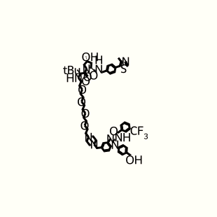 Cc1ncsc1-c1ccc(CNC(=O)[C@@H]2C[C@@H](O)CN2C(=O)[C@@H](NC(=O)COCCOCCOCCOCCN2CCN(Cc3ccc4c(c3)nc(NC(=O)c3cccc(C(F)(F)F)c3)n4-c3ccc(CO)cc3)CC2)C(C)(C)C)cc1